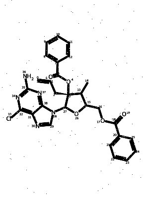 C=CC[C@@]1(OC(=O)c2ccccc2)C(C)C(COC(=O)c2ccccc2)OC1n1cnc2c(Cl)nc(N)nc21